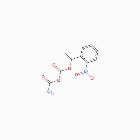 CC(OC(=O)OC(N)=O)c1ccccc1[N+](=O)[O-]